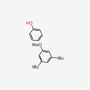 COc1cc(C(C)(C)C)cc(C(C)(C)C)c1.Oc1ccccc1